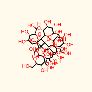 OC[C@@H](O)[C@@H](O)[C@@](O)([C@@H]1O[C@H](CO)[C@@H](O)[C@H](O)[C@H]1O)[C@@](O[C@@H]1O[C@H](CO)[C@@H](O)[C@H](O)[C@H]1O)([C@@H]1O[C@H](CO)[C@@H](O)[C@H](O)[C@H]1O)C(O[C@@H]1O[C@H](CO)[C@@H](O)[C@H](O)[C@H]1O)([C@@H]1O[C@H](CO)[C@@H](O)[C@H](O)[C@H]1O)[C@@H]1O[C@H](CO)[C@@H](O)[C@H](O)[C@H]1O